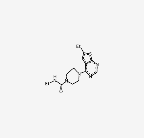 CCNC(=O)N1CCN(c2ncnc3sc(CC)cc23)CC1